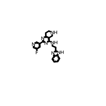 Fc1cncc(-c2nc3c(c(NCCc4nc5ccccc5[nH]4)n2)CNCC3)c1